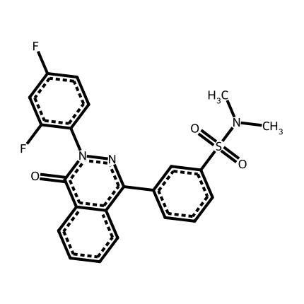 CN(C)S(=O)(=O)c1cccc(-c2nn(-c3ccc(F)cc3F)c(=O)c3ccccc23)c1